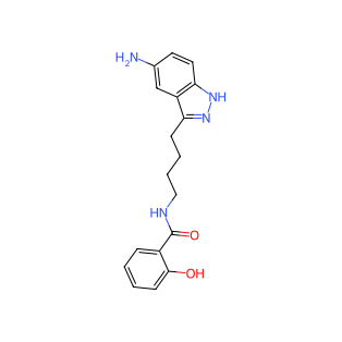 Nc1ccc2[nH]nc(CCCCNC(=O)c3ccccc3O)c2c1